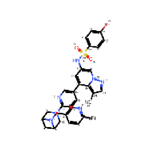 CCc1ccc(CN2C3CC2CN(c2ccc(-c4cc(NS(=O)(=O)c5ccc(Br)cc5)cn5ncc(C#N)c45)cn2)C3)cn1